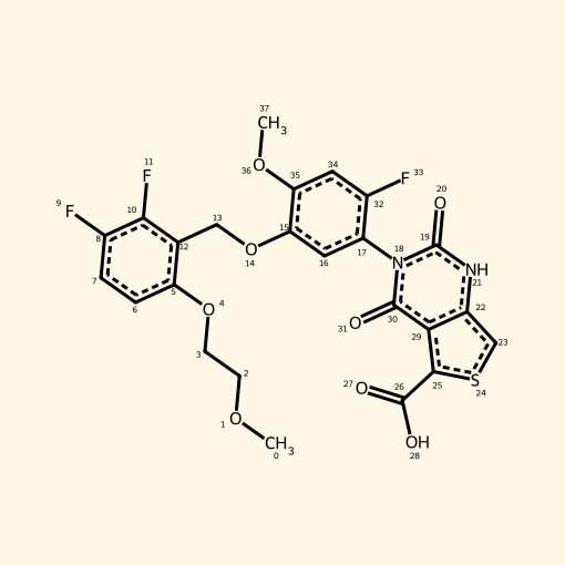 COCCOc1ccc(F)c(F)c1COc1cc(-n2c(=O)[nH]c3csc(C(=O)O)c3c2=O)c(F)cc1OC